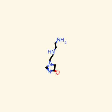 NCCNCCN1C=NC(=O)C1